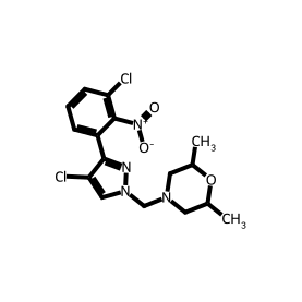 CC1CN(Cn2cc(Cl)c(-c3cccc(Cl)c3[N+](=O)[O-])n2)CC(C)O1